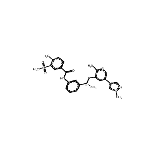 Cc1ccc(C(=O)Nc2cccc([C@@H](C)Oc3cc(-c4cnn(C)c4)cnc3N)c2)cc1S(C)(=O)=O